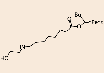 CCCCCC(CCCC)OC(=O)CCCCCCCNCCO